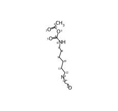 CC(=O)OC(=O)NCCCCCCN=C=O